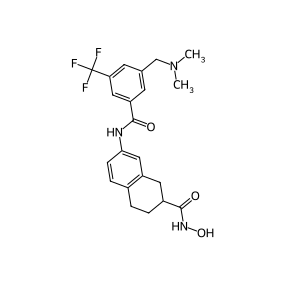 CN(C)Cc1cc(C(=O)Nc2ccc3c(c2)CC(C(=O)NO)CC3)cc(C(F)(F)F)c1